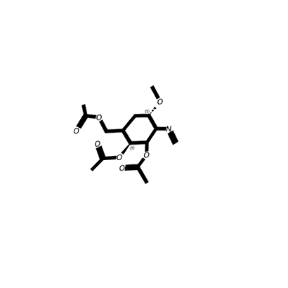 C=NC1C(OC(C)=O)[C@@H](OC(C)=O)C(COC(C)=O)C[C@@H]1OC